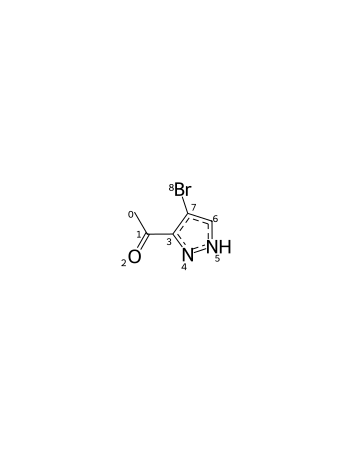 CC(=O)c1n[nH]cc1Br